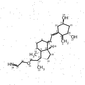 C=C1/C(=C\C=C2/CCC[C@]3(C)[C@@H]([C@H](C)COCC=N)CC[C@@H]23)C[C@@H](O)C[C@@H]1O